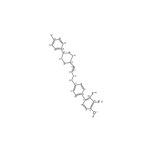 COc1ccc(-c2ccc(CC/C=C/C3CCC(c4ccc(C)cc4)CC3)cc2)c(F)c1F